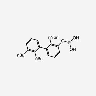 CCCCCCCCCc1c(OP(O)O)cccc1-c1cccc(CCCC)c1CCCC